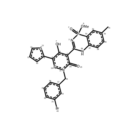 COP1(=O)N=C(c2c(O)c(-c3cccs3)nn(Cc3cccc(Br)c3)c2=O)Nc2ccc(C)cc21